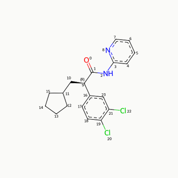 O=C(Nc1ccccn1)[C@H](CC1CCCC1)c1ccc(Cl)c(Cl)c1